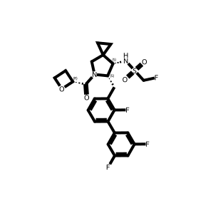 O=C([C@H]1CCO1)N1CC2(CC2)[C@H](NS(=O)(=O)CF)[C@@H]1Cc1cccc(-c2cc(F)cc(F)c2)c1F